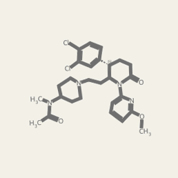 COc1cccc(N2C(=O)CC[C@@H](c3ccc(Cl)c(Cl)c3)C2CCN2CCC(N(C)C(C)=O)CC2)n1